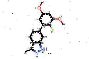 COc1cc(OC)c(F)c(-c2ccc3c(C)n[nH]c3c2)c1